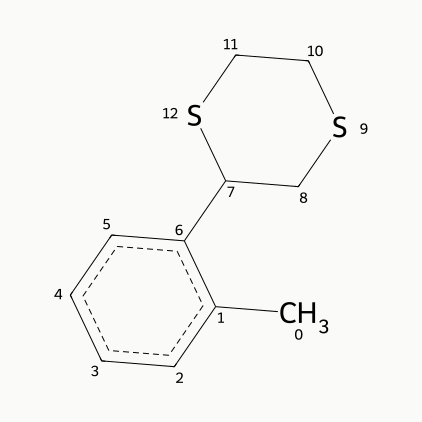 Cc1ccccc1C1CSCCS1